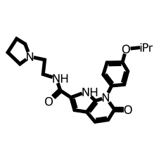 CC(C)Oc1ccc(-n2c(=O)ccc3cc(C(=O)NCCN4CCCC4)[nH]c32)cc1